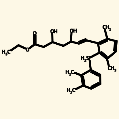 CCOC(=O)CC(O)CC(O)C=Cc1c(C)ccc(C)c1[SiH2]c1cccc(C)c1C